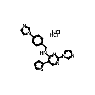 Cl.Cl.c1csc(-c2cnc(-n3ccnc3)nc2NCc2ccc(-n3ccnc3)cc2)c1